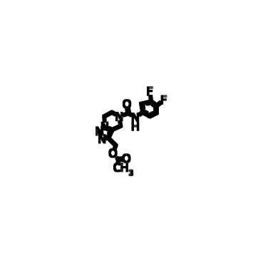 CC(=O)OCc1nnn2c1CN(C(=O)Nc1ccc(F)c(F)c1)CC2